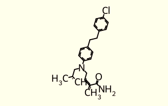 C[C](C)CN(CC=C(C)C(N)=O)c1ccc(CCc2ccc(Cl)cc2)cc1